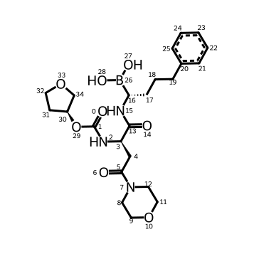 O=C(N[C@H](CC(=O)N1CCOCC1)C(=O)N[C@@H](CCCc1ccccc1)B(O)O)O[C@H]1CCOC1